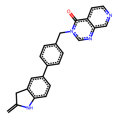 C=C1Cc2cc(-c3ccc(Cn4cnc5cnccc5c4=O)cc3)ccc2N1